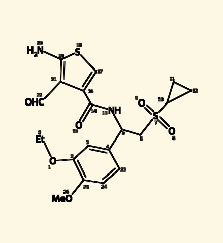 CCOc1cc(C(CS(=O)(=O)C2CC2)NC(=O)c2csc(N)c2C=O)ccc1OC